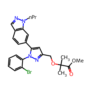 CCCn1ncc2ccc(-c3cc(COC(C)(C)C(=O)OC)nn3-c3ccccc3Br)cc21